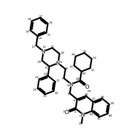 Cn1c(=O)c(CN(CCN2CCN(Cc3ccccc3)CC2c2ccccc2)C(=O)C2CCCCC2)cc2ccccc21